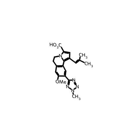 COc1cc2c(cc1-c1nnn(C)n1)-c1c(C=C(C)C)cc(C(=O)O)n1CC2